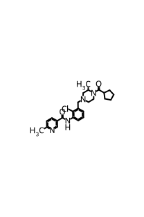 Cc1ccc(C(=O)Nc2cccc(CN3CCN(C(=O)C4CCCC4)C(C)C3)c2Cl)cn1